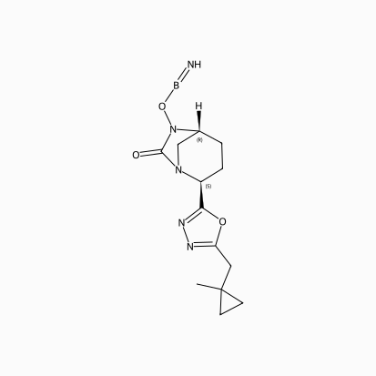 CC1(Cc2nnc([C@@H]3CC[C@@H]4CN3C(=O)N4OB=N)o2)CC1